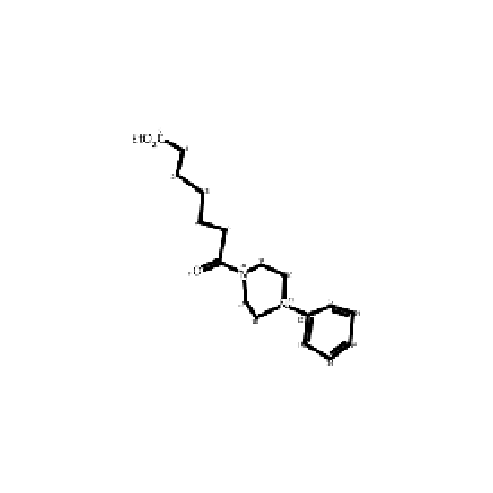 CCOC(=O)CCCCCC(=O)N1CCN(c2ccccc2)CC1